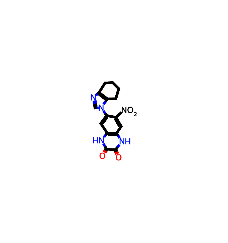 O=c1[nH]c2cc(-n3cnc4c3CCCC4)c([N+](=O)[O-])cc2[nH]c1=O